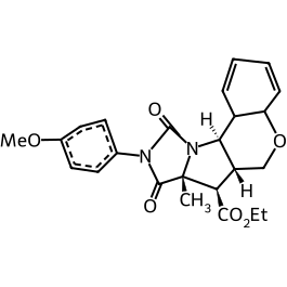 CCOC(=O)[C@@H]1[C@H]2COC3C=CC=CC3[C@@H]2N2C(=O)N(c3ccc(OC)cc3)C(=O)[C@@]12C